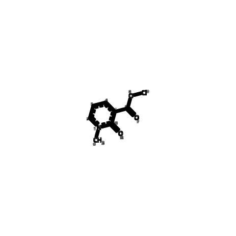 Cn1cccc(C(=O)OCl)c1=O